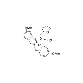 COc1ccc(CN(Cc2ccc(OC)cc2)S(=O)(=O)[C@H](C=O)C[C@@H]2CCCO2)cc1